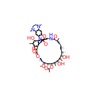 CO[C@H]1/C=C/O[C@@]2(C)Oc3c(C)c(O)c4c(=O)c(c5oc6cc7c(cc6nc-5c4c3C2=O)N(C)CCN7C)NC(=O)/C(C)=C\C=C\[C@H](C)[C@H](O)[C@@H](C)[C@@H](O)[C@@H](C)[C@H](OC(C)=O)[C@@H]1C